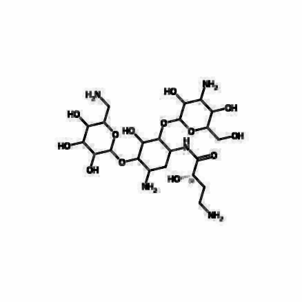 NCC[C@H](O)C(=O)NC1CC(N)C(OC2OC(CN)C(O)C(O)C2O)C(O)C1OC1OC(CO)C(O)C(N)C1O